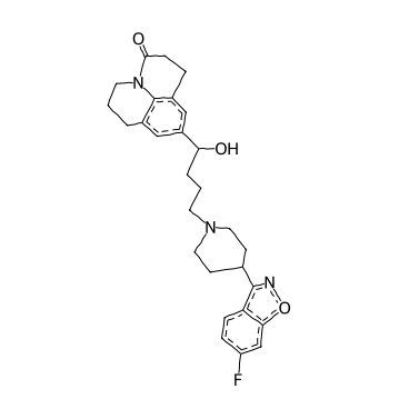 O=C1CCc2cc(C(O)CCCN3CCC(c4noc5cc(F)ccc45)CC3)cc3c2N1CCC3